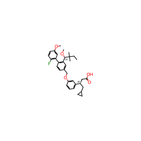 CCC(C)(C)[C@H](OC)c1cc(COc2cccc([C@@H](CC(=O)O)CC3CC3)c2)ccc1-c1cc(OC)ccc1F